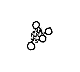 c1nc(N(SC2CCCCCCC2)SC2CCCCCCC2)nc(N(SC2CCCCCCC2)SC2CCCCCCC2)n1